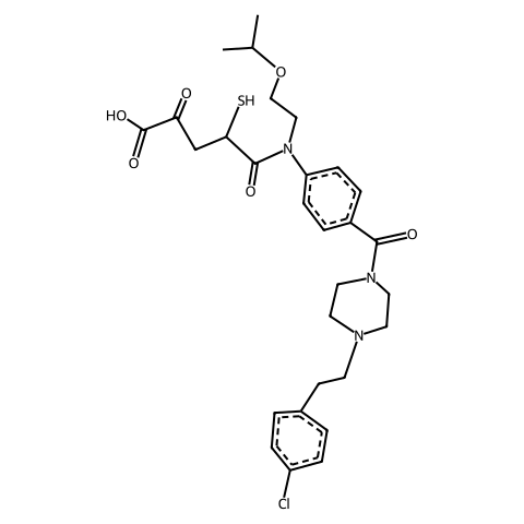 CC(C)OCCN(C(=O)C(S)CC(=O)C(=O)O)c1ccc(C(=O)N2CCN(CCc3ccc(Cl)cc3)CC2)cc1